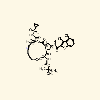 CC(C)(C)OC(=O)N[C@H]1CCCCC/C=C\[C@@H]2C[C@@]2(C(=O)NS(=O)(=O)C2CC2)NC(=O)[C@@H]2C[C@@H](NC(=O)c3sc4cccc(Cl)c4c3Cl)CN2C1=O